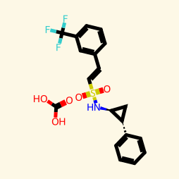 O=C(O)O.O=S(=O)(/C=C/c1cccc(C(F)(F)F)c1)N[C@H]1C[C@@H]1c1ccccc1